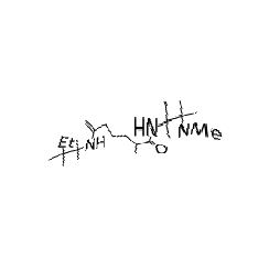 C=C(CCCC(C)C(=O)NC(C)(C)C(C)(C)NC)NC(C)(C)C(C)(C)CC